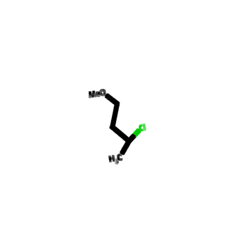 COC[CH]C(C)Cl